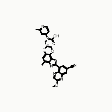 COc1cnc2c(-c3nc4c(C)cc5c(c4s3)OC[C@@H](CN(C(=O)O)c3ccnc(C)c3)O5)cc(C#N)cc2n1